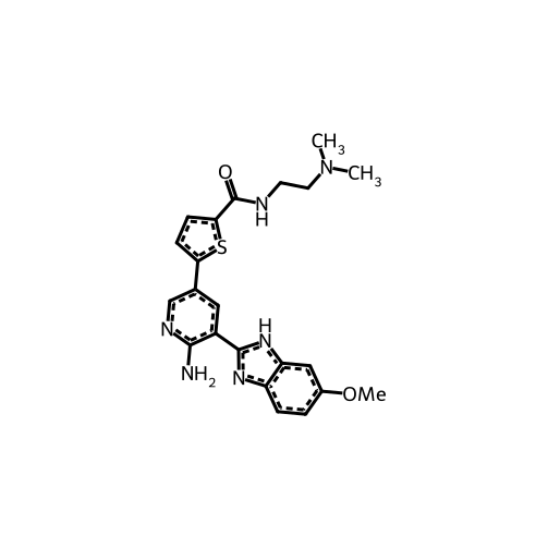 COc1ccc2nc(-c3cc(-c4ccc(C(=O)NCCN(C)C)s4)cnc3N)[nH]c2c1